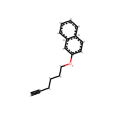 C#CCCCCOc1ccc2ccccc2c1